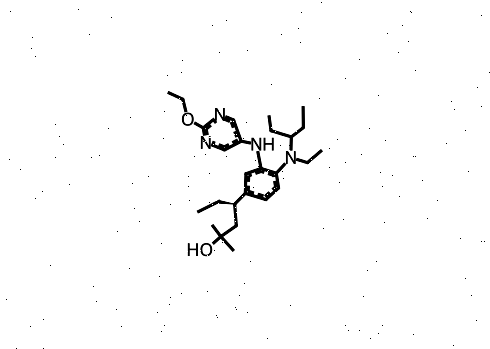 CCOc1ncc(Nc2cc([C@H](CC)CC(C)(C)O)ccc2N(CC)C(CC)CC)cn1